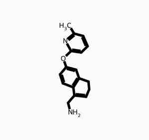 Cc1cccc(Oc2ccc3c(c2)CCC=C3CN)n1